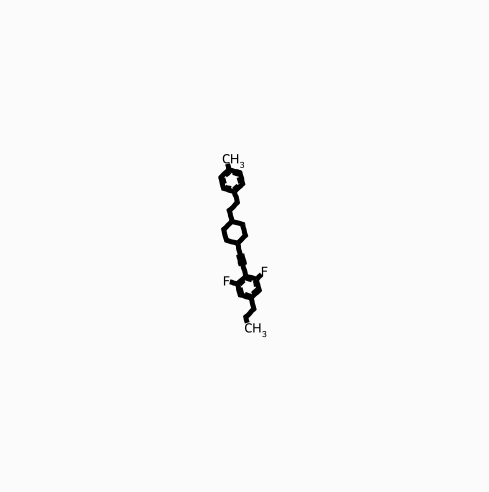 CCCc1cc(F)c(C#CC2CCC(CCc3ccc(C)cc3)CC2)c(F)c1